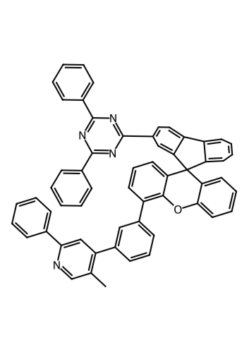 Cc1cnc(-c2ccccc2)cc1-c1cccc(-c2cccc3c2Oc2ccccc2C32c3ccccc3-c3ccc(-c4nc(-c5ccccc5)nc(-c5ccccc5)n4)cc32)c1